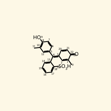 CC1=C/C(=C(/c2ccc(O)c(C)c2)c2ccccc2S(=O)(=O)O)C=CC1=O